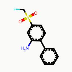 Nc1cc(S(=O)(=O)CF)ccc1-c1ccccc1